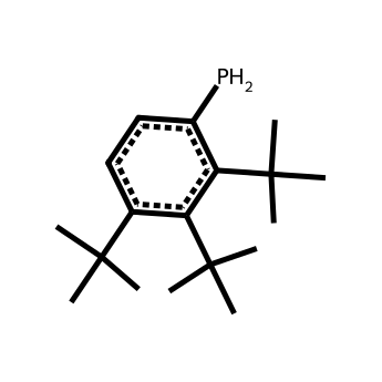 CC(C)(C)c1ccc(P)c(C(C)(C)C)c1C(C)(C)C